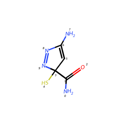 NC(=O)C1(S)C=C(N)N=N1